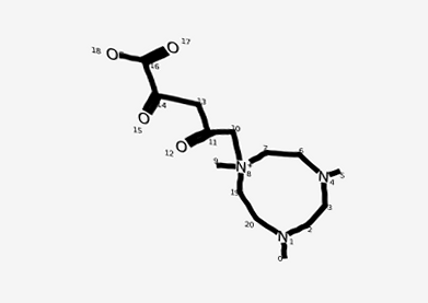 CN1CCN(C)CC[N+](C)(CC(=O)CC(=O)C(=O)[O-])CC1